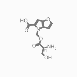 N[C@@H](CO)C(=O)OCn1c(C(=O)O)cc2occc21